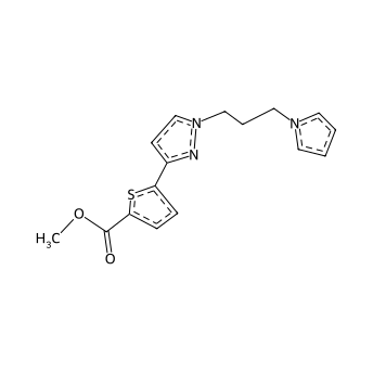 COC(=O)c1ccc(-c2ccn(CCCn3cccc3)n2)s1